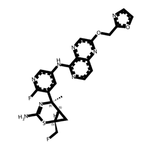 C[C@@]1(c2cc(Nc3nccc4nc(OCc5ncco5)cnc34)cnc2F)N=C(N)S[C@@]2(CF)C[C@H]21